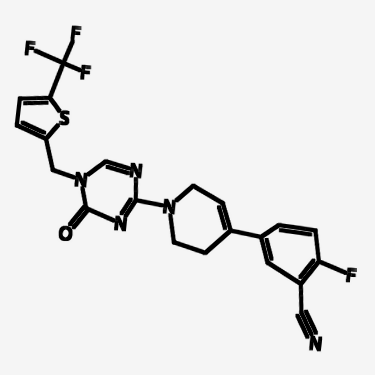 N#Cc1cc(C2=CCN(c3ncn(Cc4ccc(C(F)(F)F)s4)c(=O)n3)CC2)ccc1F